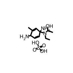 CCN(C(C)O)C1(N)C=CC(N)C(C)=C1.O=S(=O)(O)O